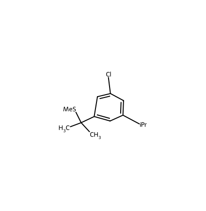 CSC(C)(C)c1cc(Cl)cc(C(C)C)c1